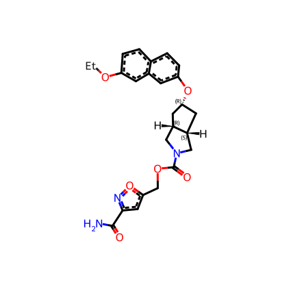 CCOc1ccc2ccc(O[C@@H]3C[C@@H]4CN(C(=O)OCc5cc(C(N)=O)no5)C[C@@H]4C3)cc2c1